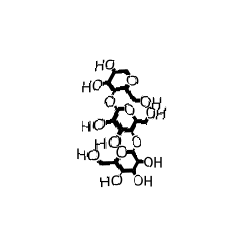 OCC1O[C@H](O[C@@H]2C(CO)O[C@H](O[C@@H]3C(CO)OCC(O)C3O)C(O)C2O)C(O)C(O)[C@@H]1O